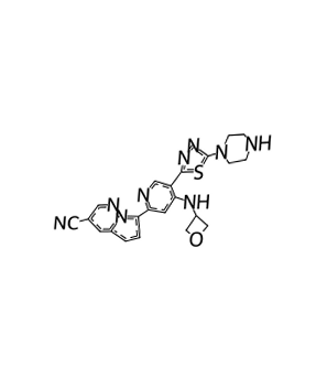 N#Cc1cnn2c(-c3cc(NC4COC4)c(-c4nnc(N5CCNCC5)s4)cn3)ccc2c1